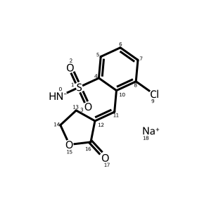 [NH-]S(=O)(=O)c1cccc(Cl)c1C=C1CCOC1=O.[Na+]